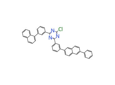 Clc1nc(-c2cccc(-c3ccc4cc(-c5ccccc5)ccc4c3)c2)nc(-c2cccc(-c3cccc4ccccc34)c2)n1